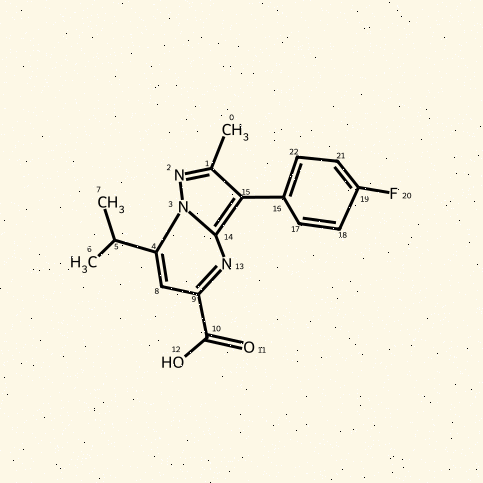 Cc1nn2c(C(C)C)cc(C(=O)O)nc2c1-c1ccc(F)cc1